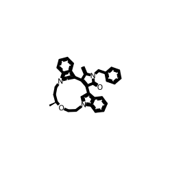 C=C1C2=C(C(=O)N1Cc1ccccc1)c1cn(c3ccccc13)CCO[C@@H](C)CCn1cc2c2ccccc21